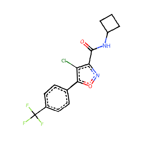 O=C(NC1CCC1)c1noc(-c2ccc(C(F)(F)F)cc2)c1Cl